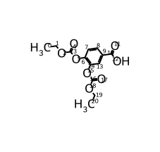 CCOC(=O)Oc1ccc(C(=O)O)cc1OC(=O)OCC